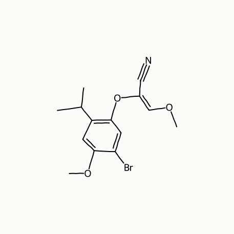 COC=C(C#N)Oc1cc(Br)c(OC)cc1C(C)C